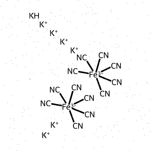 N#[C][Fe-3]([C]#N)([C]#N)([C]#N)([C]#N)[C]#N.N#[C][Fe-3]([C]#N)([C]#N)([C]#N)([C]#N)[C]#N.[K+].[K+].[K+].[K+].[K+].[K+].[KH]